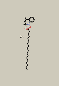 CCCCCCCCCCCCCCCCCC(=O)ON1c2ccccc2C(C)=CC1(C)C.[Zn]